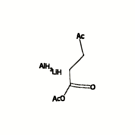 CC(=O)CCC(=O)OC(C)=O.[AlH3].[LiH]